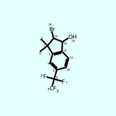 CC1(C)c2cc(C(F)(F)C(F)(F)F)ccc2C(O)C1Br